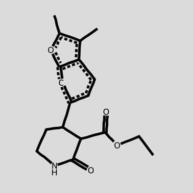 CCOC(=O)C1C(=O)NCCC1c1ccc2c(C)c(C)oc2c1